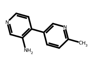 Cc1ccc(-c2ccncc2N)cn1